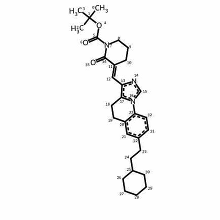 CC(C)(C)OC(=O)N1CCC/C(=C\c2ncn3c2CCc2cc(CCC4CCCCC4)ccc2-3)C1=O